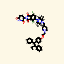 [2H]C1([2H])N(CC2CCN(CCOc3ccc(C(=C(CC)c4ccccc4)c4ccccc4)cc3)CC2)C([2H])([2H])C([2H])([2H])N(c2cc(F)c3c(c2F)C(=O)N(C2CCC(=O)NC2=O)C3=O)C1([2H])[2H]